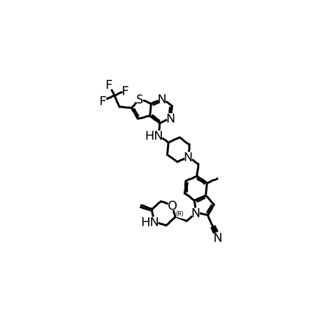 C=C1CO[C@@H](Cn2c(C#N)cc3c(C)c(CN4CCC(Nc5ncnc6sc(CC(F)(F)F)cc56)CC4)ccc32)CN1